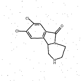 O=C1c2cc(Cl)c(Cl)cc2C2CNCCN12